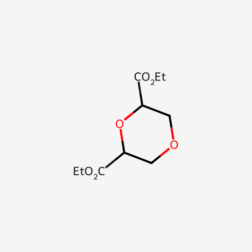 CCOC(=O)C1COCC(C(=O)OCC)O1